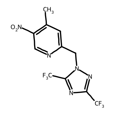 Cc1cc(Cn2nc(C(F)(F)F)nc2C(F)(F)F)ncc1[N+](=O)[O-]